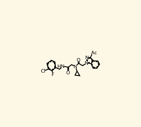 CC(=O)c1nn(CC(=O)N(CC(=O)NCc2cccc(Cl)c2F)C2CC2)c2ccccc12